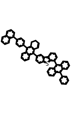 C1=Cc2c(c(-c3ccc(-c4cccc5ccccc45)cc3)c3ccccc3c2-c2ccc3sc4c(-c5c6ccccc6c(-c6ccccc6)c6ccccc56)cccc4c3c2)CC1